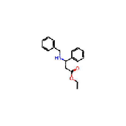 CCOC(=O)CC(NCc1ccccc1)c1ccccc1